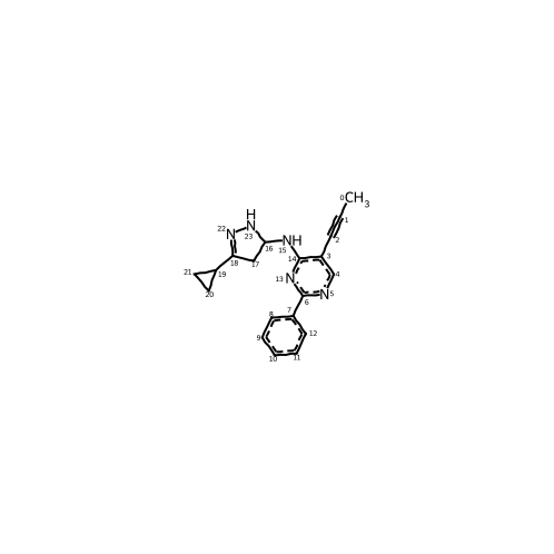 CC#Cc1cnc(-c2ccccc2)nc1NC1CC(C2CC2)=NN1